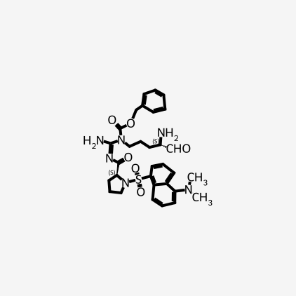 CN(C)c1cccc2c(S(=O)(=O)N3CCC[C@H]3C(=O)N=C(N)N(CCC[C@H](N)C=O)C(=O)OCc3ccccc3)cccc12